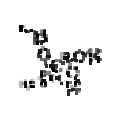 [CH2]CC(=O)OC(C)[N+]1(Cc2ccc(-c3nnn(CCF)n3)cc2)CCC(C(O)(c2ccc(OC(F)(F)F)cc2)c2ccc(OC(F)(F)F)cc2)CC1